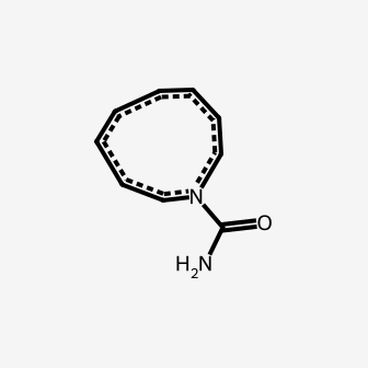 NC(=O)n1cccccccc1